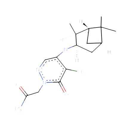 C[C@H]1[C@H]2C[C@H](C[C@H]1Nc1cnn(CC(N)=O)c(=O)c1Cl)C2(C)C